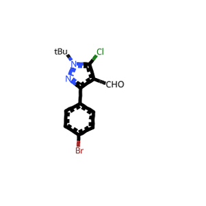 CC(C)(C)n1nc(-c2ccc(Br)cc2)c(C=O)c1Cl